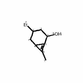 CCC1CC(O)C2=C(C)C2C1